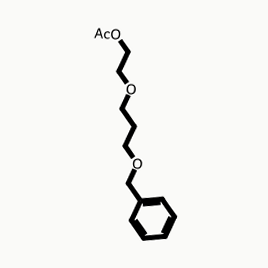 CC(=O)OCCOCCCOCc1ccccc1